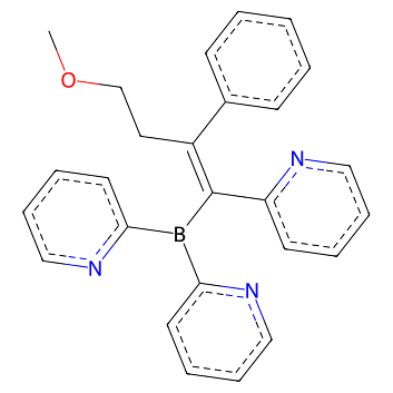 COCC/C(=C(\B(c1ccccn1)c1ccccn1)c1ccccn1)c1ccccc1